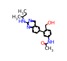 CCC(C)Nc1ncc2cc(-c3cc(NC(C)=O)ccc3CO)ccc2n1